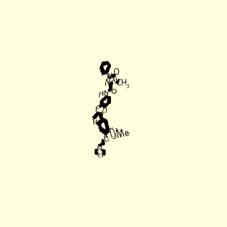 COc1cc2c(Oc3ccc(NC(=O)c4nn(-c5ccccc5)c(=O)n4C)cc3F)ccnc2cc1OCCCN1CCOCC1